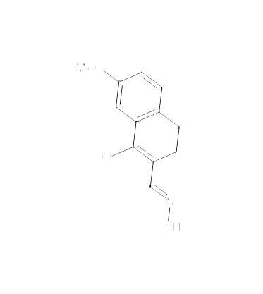 COc1ccc2c(c1)C(Cl)=C(/C=N/O)CC2